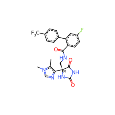 Cc1c([C@@]2(CNC(=O)c3ccc(F)cc3-c3ccc(C(F)(F)F)cc3)NC(=O)NC2=O)ncn1C